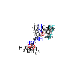 CC(C(=O)N[C@]1(c2ccccc2)CC[C@@H](NCCNC(=O)OC(C)(C)C)CC1)c1cc(C(F)(F)F)cc(C(F)(F)F)c1